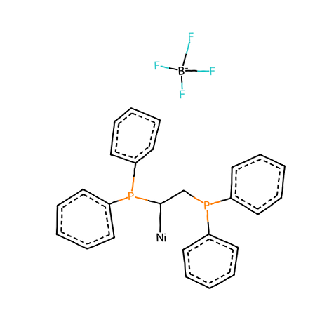 F[B-](F)(F)F.[Ni][CH](CP(c1ccccc1)c1ccccc1)P(c1ccccc1)c1ccccc1